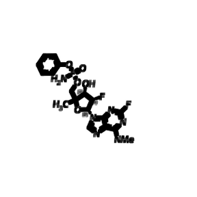 CNc1nc(F)nc2c1ncn2[C@@H]1OC(C)(COP(N)(=O)Oc2ccccc2)[C@@H](O)[C@H]1F